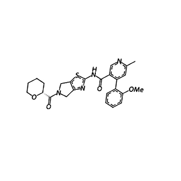 COc1ccccc1-c1cc(C)ncc1C(=O)Nc1nc2c(s1)CN(C(=O)[C@H]1CCCCO1)C2